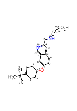 CCC(C)(C)C1CCC(Oc2ccc3cc(CNCCC(=O)O)ncc3c2)CC1